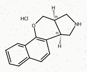 Cl.c1ccc2c3c(ccc2c1)[C@@H]1CNC[C@@H]1CO3